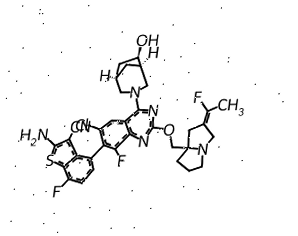 C/C(F)=C1\CN2CCCC2(COc2nc(N3C[C@@H]4C[C@H](C3)[C@H](O)C4)c3cc(Cl)c(-c4ccc(F)c5sc(N)c(C#N)c45)c(F)c3n2)C1